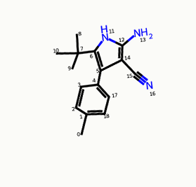 Cc1ccc(-c2c(C(C)(C)C)[nH]c(N)c2C#N)cc1